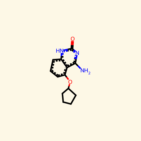 Nc1nc(=O)[nH]c2cccc(OC3CCCC3)c12